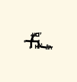 CCCPCC(C)(C)C.Cl